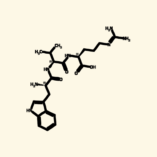 CC(C)[C@H](NC(=O)[C@@H](N)Cc1c[nH]c2ccccc12)C(=O)N[C@@H](CCCN=C(N)N)C(=O)O